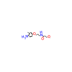 COCCC(=O)NCCCOc1ccc(N)c(C)c1